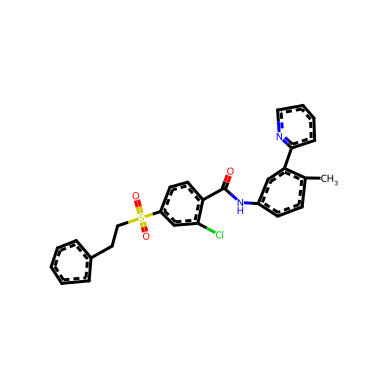 Cc1ccc(NC(=O)c2ccc(S(=O)(=O)CCc3ccccc3)cc2Cl)cc1-c1ccccn1